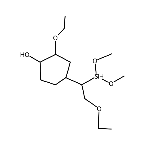 CCOCC(C1CCC(O)C(OCC)C1)[SiH](OC)OC